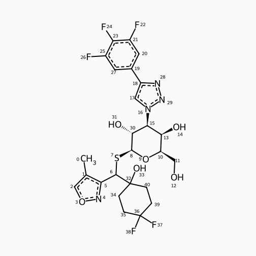 Cc1conc1C(S[C@@H]1O[C@H](CO)[C@H](O)[C@H](n2cc(-c3cc(F)c(F)c(F)c3)nn2)[C@H]1O)C1(O)CCC(F)(F)CC1